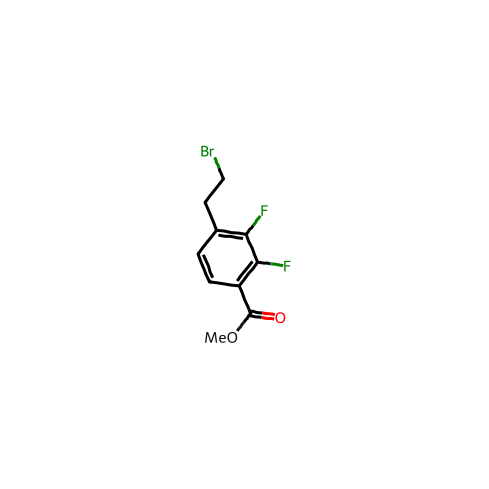 COC(=O)c1ccc(CCBr)c(F)c1F